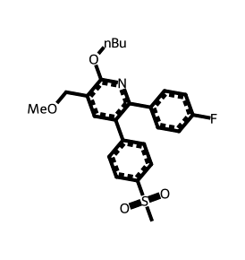 CCCCOc1nc(-c2ccc(F)cc2)c(-c2ccc(S(C)(=O)=O)cc2)cc1COC